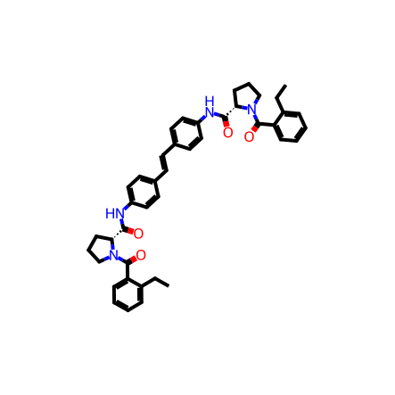 CCc1ccccc1C(=O)N1CCC[C@@H]1C(=O)Nc1ccc(/C=C/c2ccc(NC(=O)[C@@H]3CCCN3C(=O)c3ccccc3CC)cc2)cc1